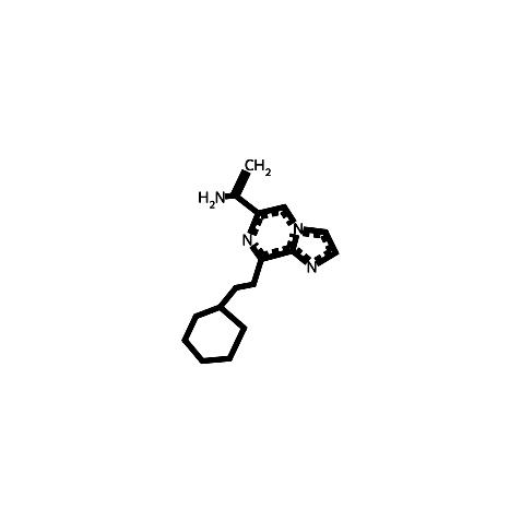 C=C(N)c1cn2ccnc2c(CCC2CCCCC2)n1